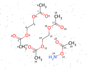 CC(=O)OCCOC(C)=O.CC(=O)OCCOC(C)=O.CC(=O)ON